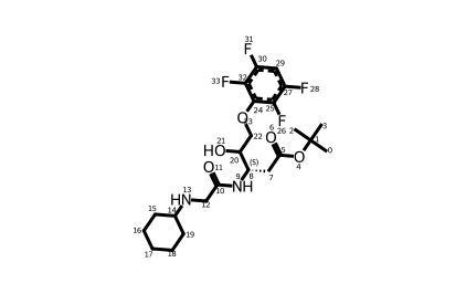 CC(C)(C)OC(=O)C[C@H](NC(=O)CNC1CCCCC1)C(O)COc1c(F)c(F)cc(F)c1F